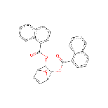 O=C(OC1C2C=CC(O2)C1OC(=O)c1cccc2ccccc12)c1cccc2ccccc12